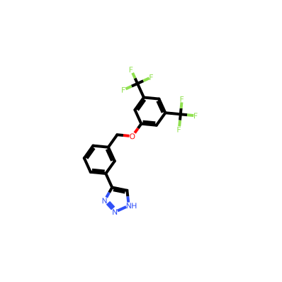 FC(F)(F)c1cc(OCc2cccc(-c3c[nH]nn3)c2)cc(C(F)(F)F)c1